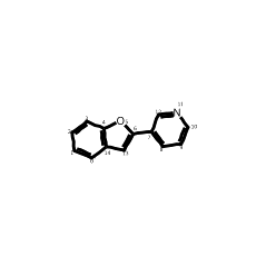 [c]1cccc2oc(-c3cccnc3)cc12